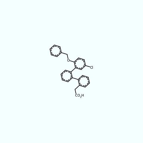 O=C(O)Cc1ccccc1-c1ccccc1-c1cc(Cl)ccc1OCc1ccccc1